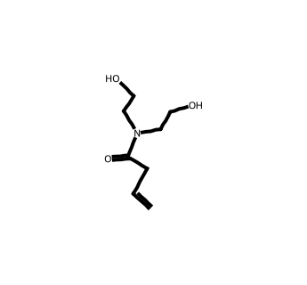 C=CCC(=O)N(CCO)CCO